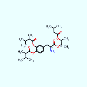 CC(C)CC(=O)OC(C)[C@H](C)OC(=O)[C@@H](N)Cc1ccc(OC(=O)C(C)C(C)C)c(OC(=O)C(C)C(C)C)c1